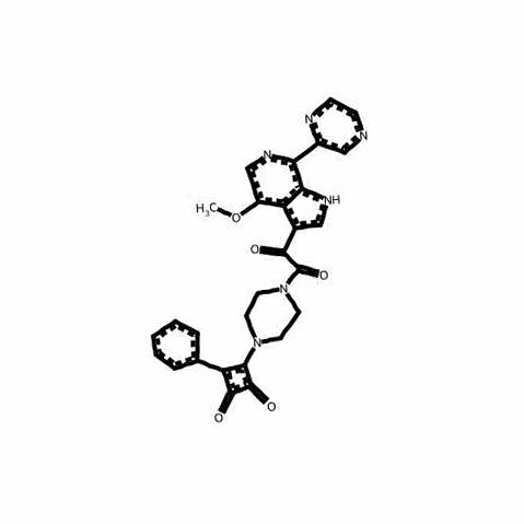 COc1cnc(-c2cnccn2)c2[nH]cc(C(=O)C(=O)N3CCN(c4c(-c5ccccc5)c(=O)c4=O)CC3)c12